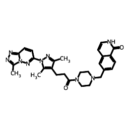 Cc1nn(-c2ccc3nnc(C)n3n2)c(C)c1CCC(=O)N1CCN(Cc2ccc3c(=O)[nH]ccc3c2)CC1